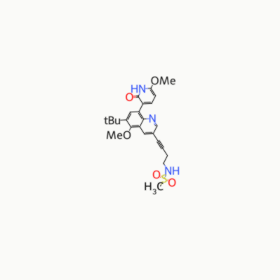 COc1ccc(-c2cc(C(C)(C)C)c(OC)c3cc(C#CCCNS(C)(=O)=O)cnc23)c(=O)[nH]1